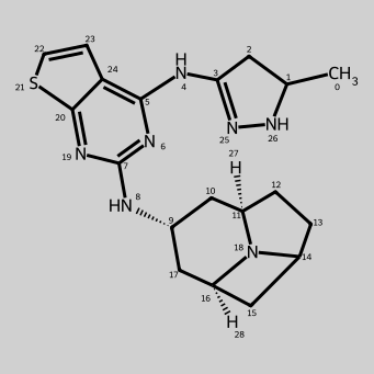 CC1CC(Nc2nc(N[C@@H]3C[C@H]4CCC5C[C@@H](C3)N54)nc3sccc23)=NN1